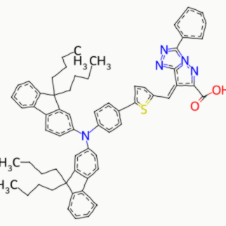 CCCCC1(CCCC)c2ccccc2-c2ccc(N(c3ccc(-c4ccc(/C=c5/c(C(=O)O)nn6c(-c7ccccc7)nnc56)s4)cc3)c3ccc4c(c3)C(CCCC)(CCCC)c3ccccc3-4)cc21